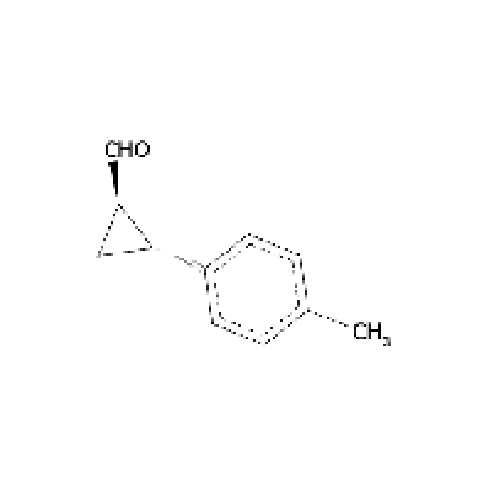 Cc1ccc([C@@H]2C[C@H]2C=O)cc1